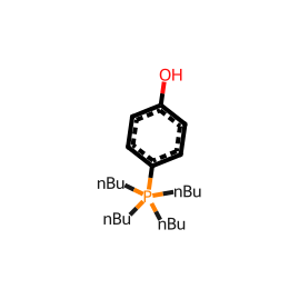 CCCCP(CCCC)(CCCC)(CCCC)c1ccc(O)cc1